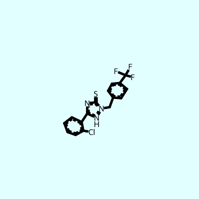 FC(F)(F)c1ccc(Cn2[nH]c(-c3ccccc3Cl)nc2=S)cc1